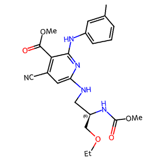 CCOC[C@@H](CNc1cc(C#N)c(C(=O)OC)c(Nc2cccc(C)c2)n1)NC(=O)OC